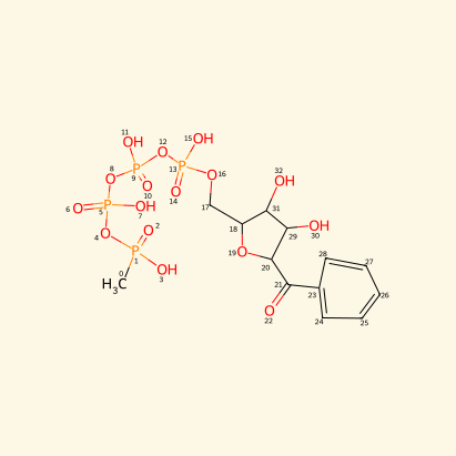 CP(=O)(O)OP(=O)(O)OP(=O)(O)OP(=O)(O)OCC1OC(C(=O)c2ccccc2)C(O)C1O